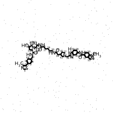 Cc1ncsc1-c1ccc(CNC(=O)[C@@H]2C[C@@H](O)CN2C(=O)[C@@H](NC(=O)CCCCCNC(=O)CC2CCN(Cc3nc4cc(NC(=O)c5ccc6c(cnn6C)c5)ccc4[nH]3)C2)C(C)(C)C)cc1